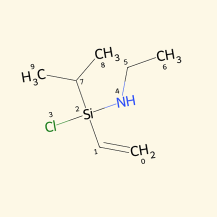 C=C[Si](Cl)(NCC)C(C)C